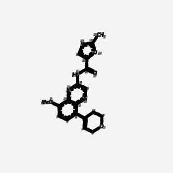 COc1ccc(C2=CCOCC2)c2ncc(NC(=O)c3cnc(C)o3)nc12